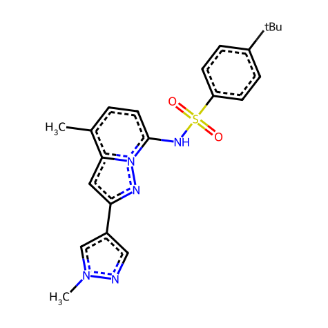 Cc1ccc(NS(=O)(=O)c2ccc(C(C)(C)C)cc2)n2nc(-c3cnn(C)c3)cc12